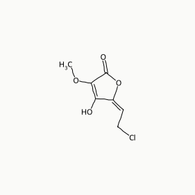 COC1=C(O)/C(=C\CCl)OC1=O